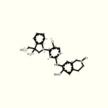 CCN1CCc2cc(OC)c(Nc3ncc(Cl)c(N4CC(C)(CC(=O)O)c5ccccc54)n3)cc2C1